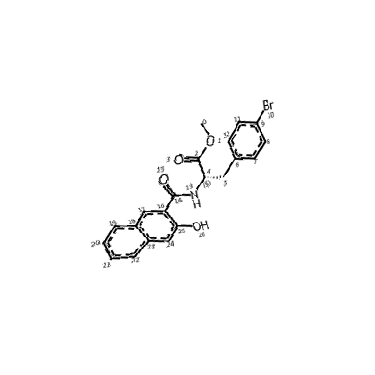 COC(=O)[C@H](Cc1ccc(Br)cc1)NC(=O)c1cc2ccccc2cc1O